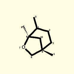 CC1CC[C@]2(C)CO[C@]1(C)C2